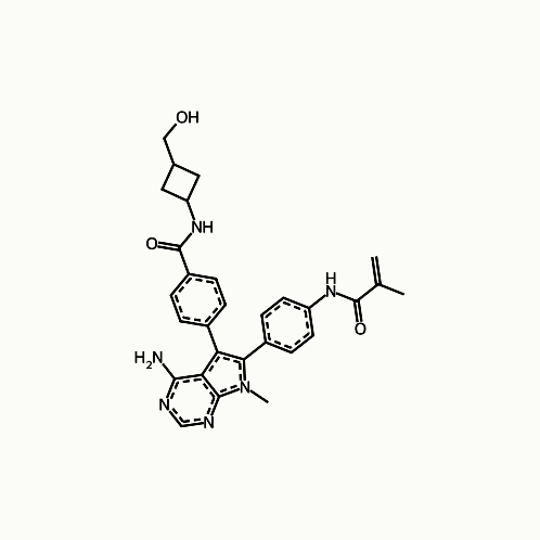 C=C(C)C(=O)Nc1ccc(-c2c(-c3ccc(C(=O)NC4CC(CO)C4)cc3)c3c(N)ncnc3n2C)cc1